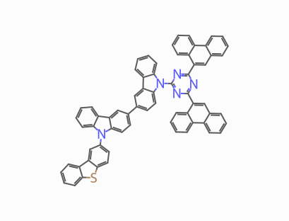 c1ccc2c(c1)cc(-c1nc(-c3cc4ccccc4c4ccccc34)nc(-n3c4ccccc4c4cc(-c5ccc6c(c5)c5ccccc5n6-c5ccc6sc7ccccc7c6c5)ccc43)n1)c1ccccc12